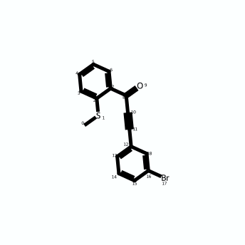 CSc1ccccc1C(=O)C#Cc1cccc(Br)c1